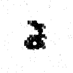 CO[C@H]1[C@H](C)[C@@H](O[C@H]2C[C@@H](N(C)CCc3cn([C@H](CF)[C@H](OC)c4ccc(S(N)(=O)=O)cc4)nn3)C[C@@H](C)O2)[C@](C)(O)C[C@@H](C)CN(C)[C@H](C)[C@@H](O)[C@H](O)[C@@H](I)OC(=O)[C@@H]1C